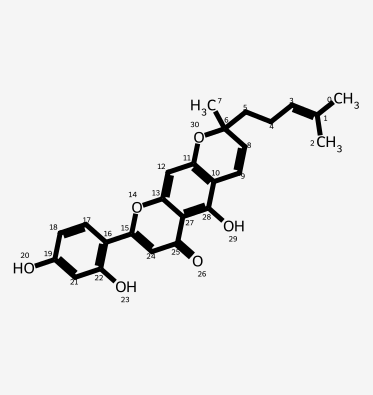 CC(C)=CCCC1(C)C=Cc2c(cc3oc(-c4ccc(O)cc4O)cc(=O)c3c2O)O1